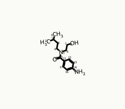 CC(C)CCN(CCO)C(=O)c1ccc(N)cc1